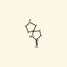 O=C1CCC2(CCNC2)N1